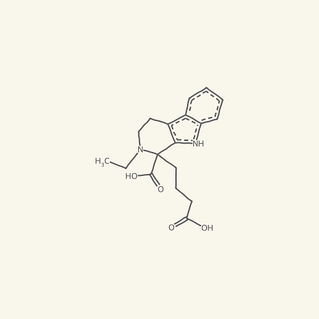 CCN1CCc2c([nH]c3ccccc23)C1(CCCC(=O)O)C(=O)O